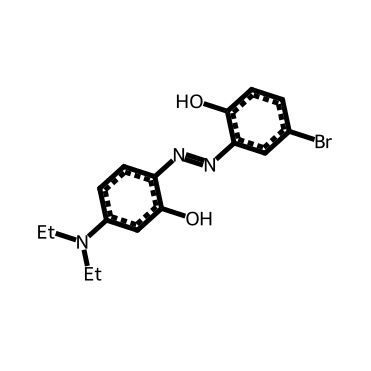 CCN(CC)c1ccc(N=Nc2cc(Br)ccc2O)c(O)c1